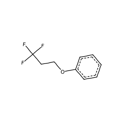 FC(F)(F)CCOc1ccccc1